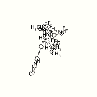 COC(=O)NC(C(=O)N[C@@H](Cc1ccc(C#Cc2ccc(N3CCN([C@@H]4CCOC4)CC3)nc2)cc1)[C@@H](O)CN(NC(=O)[C@@H](NC(=O)OC)C(C)(C)C(F)(F)F)c1c(F)cc(-c2ccn(C(F)F)n2)cc1F)C(C)(C)C(F)(F)F